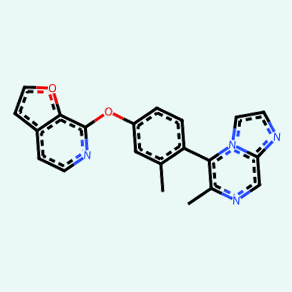 Cc1cc(Oc2nccc3ccoc23)ccc1-c1c(C)ncc2nccn12